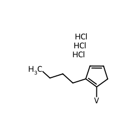 CCCCC1=[C]([V])CC=C1.Cl.Cl.Cl